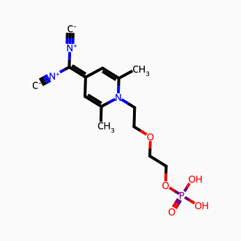 [C-]#[N+]C([N+]#[C-])=C1C=C(C)N(CCOCCOP(=O)(O)O)C(C)=C1